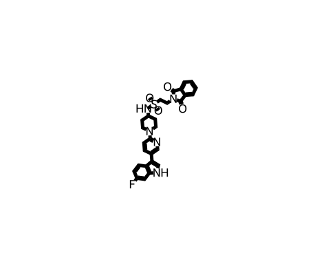 O=C1c2ccccc2C(=O)N1CCS(=O)(=O)NC1CCN(c2ccc(-c3c[nH]c4cc(F)ccc34)cn2)CC1